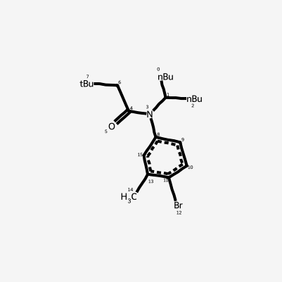 CCCCC(CCCC)N(C(=O)CC(C)(C)C)c1ccc(Br)c(C)c1